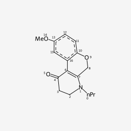 CCCN1CCC(=O)C2=C1COc1ccc(OC)cc12